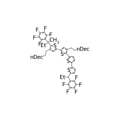 CCCCCCCCCCCCc1cc(-c2cc(CCCCCCCCCCCC)c(C(C)(CC)c3c(F)c(F)c(F)c(F)c3F)s2)sc1-c1ccc(-c2ccc(C(CC)c3c(F)c(F)c(F)c(F)c3F)s2)s1